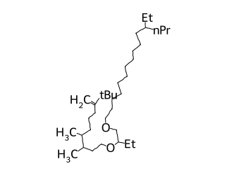 C=C(CCCC(C)C(C)CCOC(CC)COCCCCCCCCCCCC(CC)CCC)C(C)(C)C